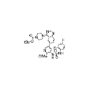 COc1ncc(-c2ccc3ncnc(N4CCN(C(=O)OC(C)(C)C)CC4)c3c2)cc1NS(=O)(=O)Nc1ccc(F)cc1F